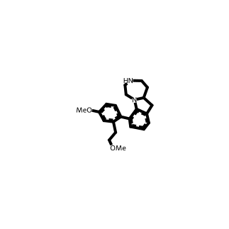 COCCc1cc(OC)ccc1-c1cccc2c1N1CCNCCC1C2